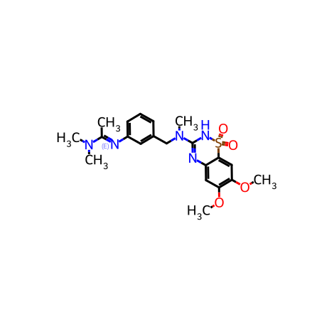 COc1cc2c(cc1OC)S(=O)(=O)NC(N(C)Cc1cccc(/N=C(\C)N(C)C)c1)=N2